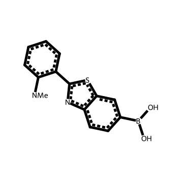 CNc1ccccc1-c1nc2ccc(B(O)O)cc2s1